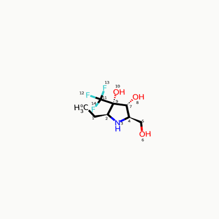 CC[C@@H]1N[C@H](CO)[C@@H](O)[C@]1(O)C(F)(F)F